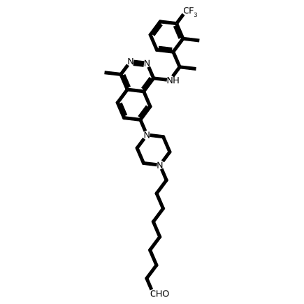 Cc1c(C(C)Nc2nnc(C)c3ccc(N4CCN(CCCCCCCCC=O)CC4)cc23)cccc1C(F)(F)F